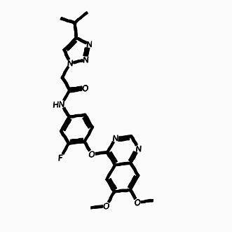 COc1cc2ncnc(Oc3ccc(NC(=O)Cn4cc(C(C)C)nn4)cc3F)c2cc1OC